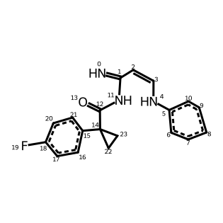 N=C(/C=C\Nc1ccccc1)NC(=O)C1(c2ccc(F)cc2)CC1